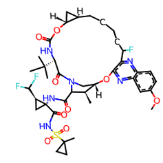 COc1ccc2nc3c(nc2c1)O[C@H]1CN(C(=O)[C@H](C(C)(C)C)NC(=O)O[C@@H]2C[C@H]2CCCCC3F)C(C(=O)N[C@]2(C(=O)NS(=O)(=O)C3(C)CC3)C[C@H]2C(F)F)[C@@H]1C